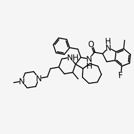 Cc1ccc(F)c2c1NC(C(=O)NC(Cc1ccccc1)C1(C3CCCCCC3)NCC(CCN3CCN(C)CC3)CC1C)C2